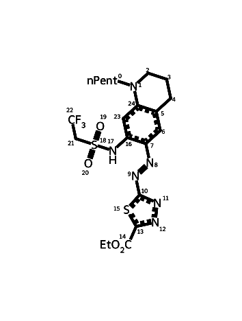 CCCCCN1CCCc2cc(N=Nc3nnc(C(=O)OCC)s3)c(NS(=O)(=O)CC(F)(F)F)cc21